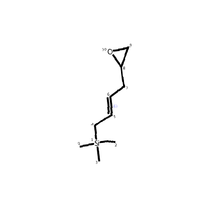 C[Si](C)(C)C/C=C/CC1CO1